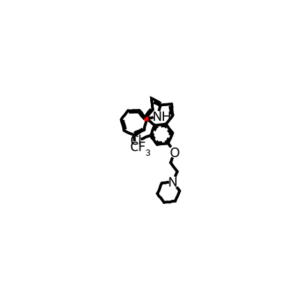 FC(F)(F)C1=CC(NC2=C\C=C\c3c(Cl)cc(OCCN4CCCCC4)cc3/C=C\2)=C=CC=C1